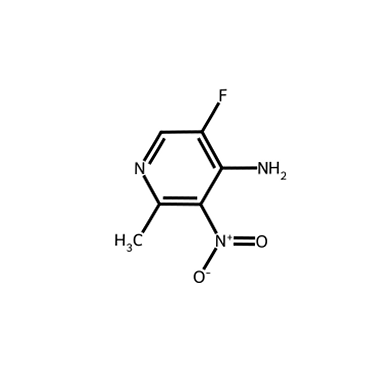 Cc1ncc(F)c(N)c1[N+](=O)[O-]